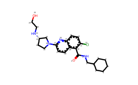 O=C(NCC1CCCCC1)c1c(Cl)ccc2nc(N3CC[C@H](NCCO)C3)ccc12